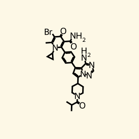 Cc1c(Br)c(=O)c(C(N)=O)c(-c2ccc(-c3cc(C4CCN(C(=O)C(C)C)CC4)n4ncnc(N)c34)cc2)n1C1CC1